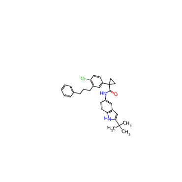 CC(C)(C)c1cc2cc(NC(=O)C3(c4ccc(Cl)c(CCCc5ccccc5)c4)CC3)ccc2[nH]1